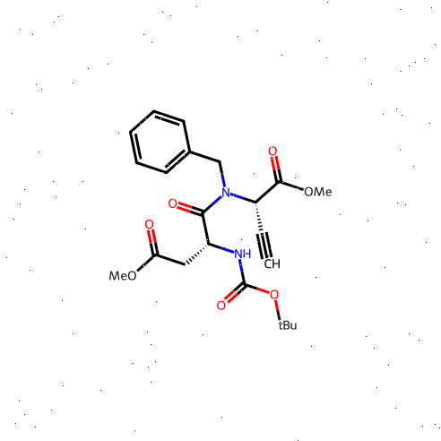 C#C[C@@H](C(=O)OC)N(Cc1ccccc1)C(=O)[C@@H](CC(=O)OC)NC(=O)OC(C)(C)C